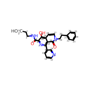 O=C(O)CCNC(=O)c1nc(-c2cccnc2)c2c(=O)n(CCc3ccccc3)ccc2c1O